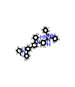 CC1C=CC=CC1n1c2ccccc2c2cc(C3C=Cc4c(c5ccccc5n4-c4cccc(C5NC(c6ccccc6)NC(c6ccccc6)N5)c4)C3)ccc21